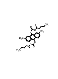 CCCCC(I)OC(=O)Oc1c2ccc(C)cc2c(OC(=O)OC(I)CCCC)c2cc(C)ccc12